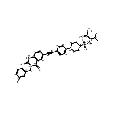 CC(C)[C@@H](NS(=O)(=O)N1CCN(c2ccc(C#Cc3ccc4[nH]c(=O)n(Cc5cccc(F)c5)c(=O)c4c3)cc2)CC1)C(=O)O